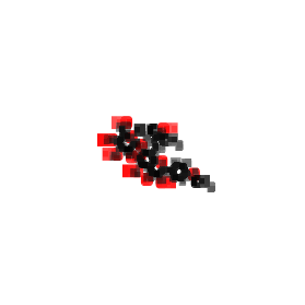 COc1ccc(-c2oc3c(CCC(C)(C)O)c(O[C@@H]4O[C@H](CO)[C@@H](O)[C@H](O)[C@H]4O)cc(O)c3c(=O)c2O)cc1